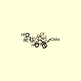 COCCOC12CC3CC(C1)CC([C@H](NC(=O)C(F)(F)F)C(=O)N1[C@@H]4CC[C@@H](C4)[C@H]1C(=O)N[C@H](C#N)C[C@@H]1CCNC1=O)(C3)C2